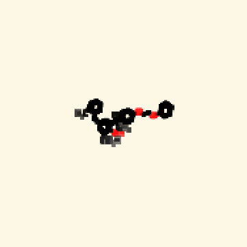 Cc1ccccc1Cc1cc(C(=O)O)c(O)c(C(C)(C)c2ccc(OCCOc3ccccc3)cc2)c1